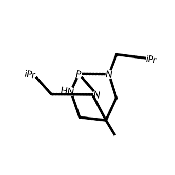 CC(C)CN1CC2(C)CNP1N(CC(C)C)C2